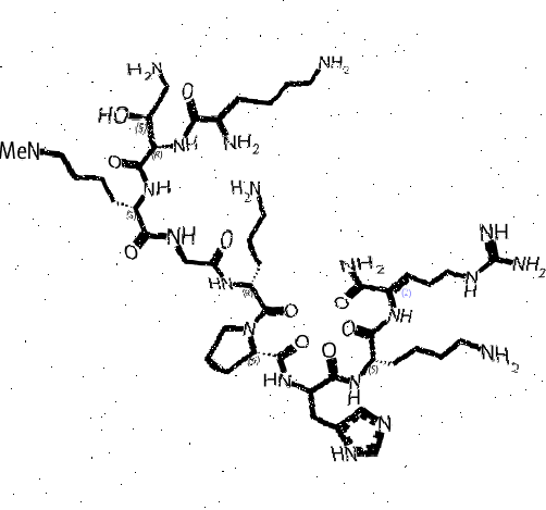 CNCCCC[C@H](NC(=O)[C@H](NC(=O)C(N)CCCCN)[C@@H](O)CN)C(=O)NCC(=O)N[C@H](CCCN)C(=O)N1CCC[C@H]1C(=O)NC(Cc1cnc[nH]1)C(=O)N[C@@H](CCCCN)C(=O)N/C(=C\CCNC(=N)N)C(N)=O